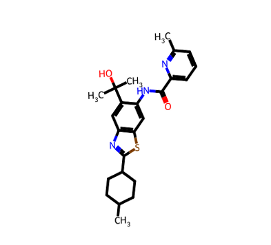 Cc1cccc(C(=O)Nc2cc3sc(C4CCC(C)CC4)nc3cc2C(C)(C)O)n1